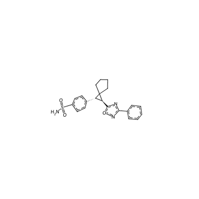 NS(=O)(=O)c1ccc([C@H]2[C@H](c3nc(-c4ccccc4)no3)C23CCCC3)cc1